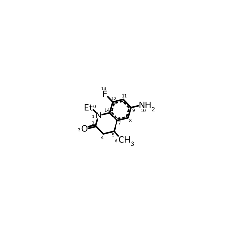 CCN1C(=O)CC(C)c2cc(N)cc(F)c21